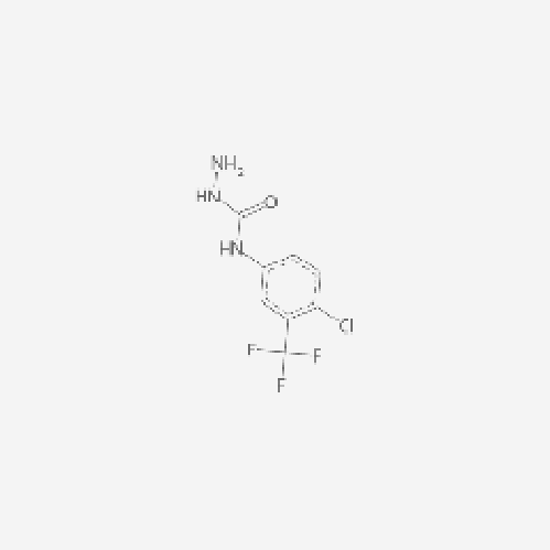 NNC(=O)Nc1ccc(Cl)c(C(F)(F)F)c1